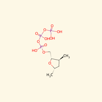 C[C@H]1C[C@H](C)[C@@H](COP(=O)(O)OP(=O)(O)OP(=O)(O)O)O1